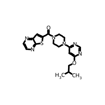 CC(C)COc1cc(N2CCN(C(=O)c3cc4nccnc4s3)CC2)ncn1